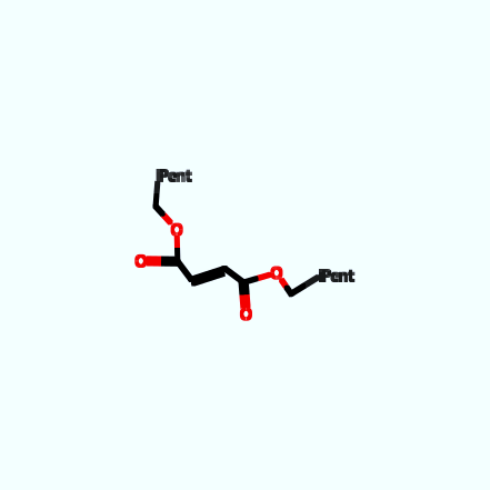 CCCC(C)COC(=O)C=CC(=O)OCC(C)CCC